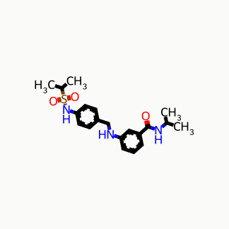 CC(C)NC(=O)c1cccc(NCc2ccc(NS(=O)(=O)C(C)C)cc2)c1